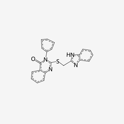 O=c1c2ccccc2nc(SCc2nc3ccccc3[nH]2)n1-c1ccccc1